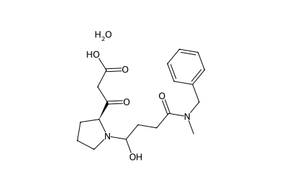 CN(Cc1ccccc1)C(=O)CCC(O)N1CCC[C@H]1C(=O)CC(=O)O.O